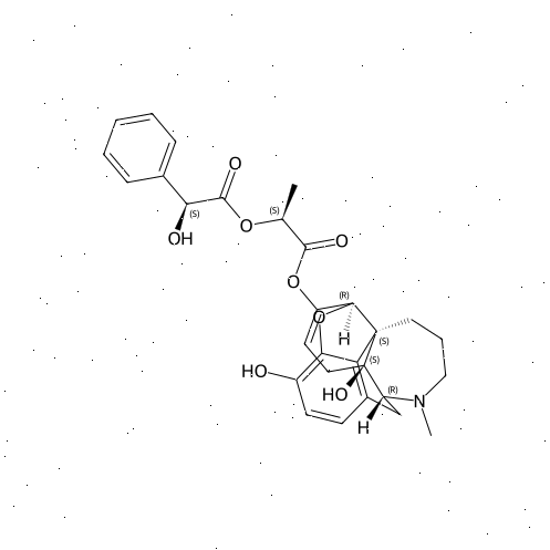 C[C@H](OC(=O)[C@@H](O)c1ccccc1)C(=O)OC1=CC[C@@]2(O)[C@H]3Cc4ccc(O)c5c4[C@@]2(CCCN3C)[C@H]1O5